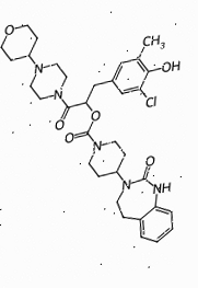 Cc1cc(CC(OC(=O)N2CCC(N3CCc4ccccc4NC3=O)CC2)C(=O)N2CCN(C3CCOCC3)CC2)cc(Cl)c1O